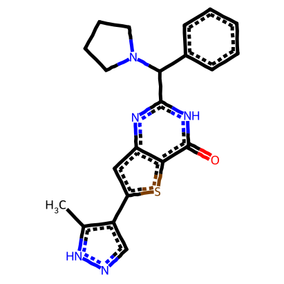 Cc1[nH]ncc1-c1cc2nc(C(c3ccccc3)N3CCCC3)[nH]c(=O)c2s1